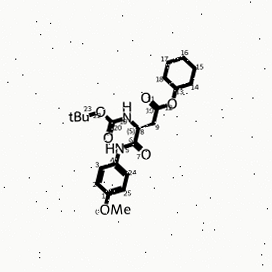 COc1ccc(NC(=O)[C@H](CC(=O)OC2CCCCC2)NC(=O)OC(C)(C)C)cc1